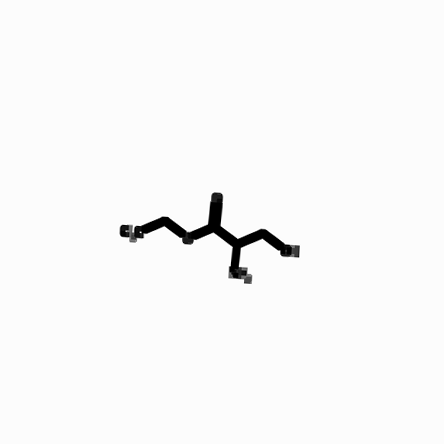 NC(CO)C(=O)OCC(Cl)(Cl)Cl